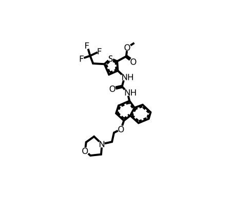 COC(=O)c1sc(CC(F)(F)F)cc1NC(=O)Nc1ccc(OCCN2CCOCC2)c2ccccc12